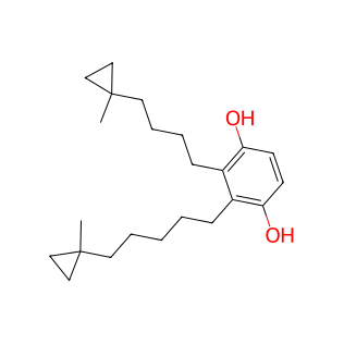 CC1(CCCCCc2c(O)ccc(O)c2CCCCC2(C)CC2)CC1